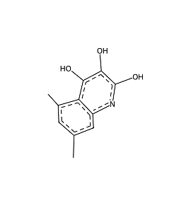 Cc1cc(C)c2c(O)c(O)c(O)nc2c1